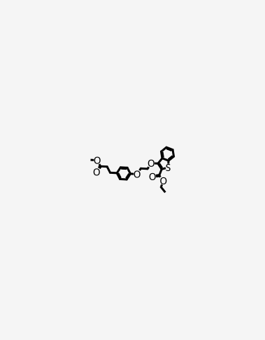 CCOC(=O)c1sc2ccccc2c1OCCOc1ccc(CCC(=O)OC)cc1